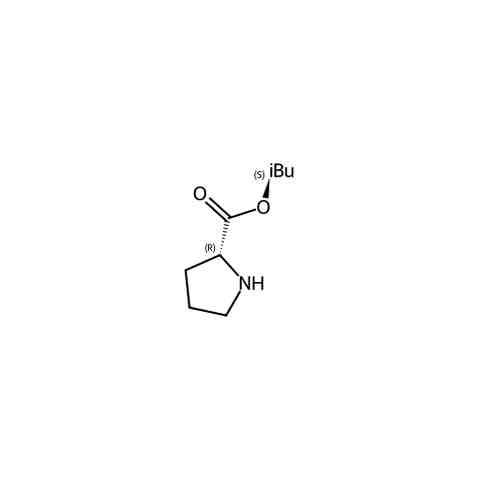 CC[C@H](C)OC(=O)[C@H]1CCCN1